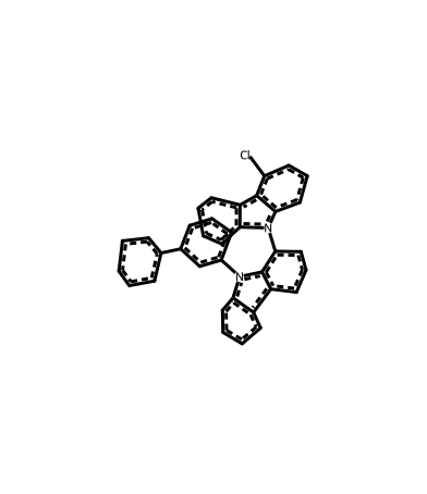 Clc1cccc2c1c1ccccc1n2-c1cccc2c3ccccc3n(-c3cccc(-c4ccccc4)c3)c12